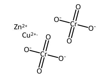 [Cu+2].[O]=[Cr](=[O])([O-])[O-].[O]=[Cr](=[O])([O-])[O-].[Zn+2]